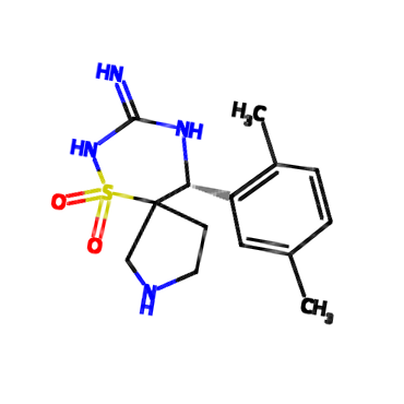 Cc1ccc(C)c([C@H]2NC(=N)NS(=O)(=O)C23CCNC3)c1